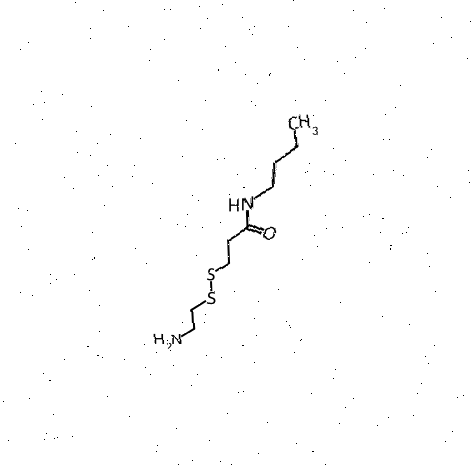 CCCCNC(=O)CCSSCCN